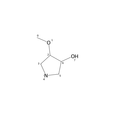 COC1C[N]CC1O